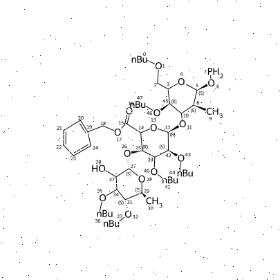 CCCCOCC1O[C@@H](OP)[C@@H](C)C(O[C@@H]2OC(C(=O)OCc3ccccc3)[C@H](O[C@@H]3O[C@@H](C)[C@H](OCCCC)C(OCCCC)C3O)C(OCCCC)[C@@H]2OCCCC)[C@H]1OCCCC